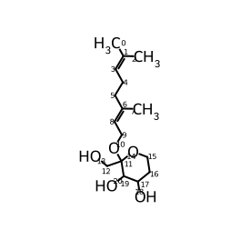 CC(C)=CCC/C(C)=C/COC1(CO)OCCC(O)C1O